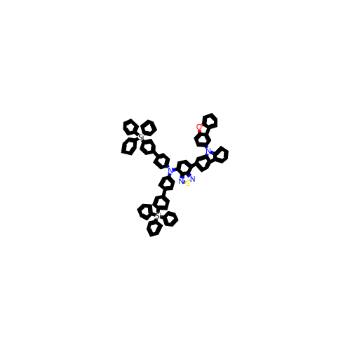 c1ccc([Si](c2ccccc2)(c2ccccc2)c2ccc(-c3ccc(N(c4ccc(-c5ccc([Si](c6ccccc6)(c6ccccc6)c6ccccc6)cc5)cc4)c4ccc(-c5ccc6c7ccccc7n(-c7ccc8oc9ccccc9c8c7)c6c5)c5nsnc45)cc3)cc2)cc1